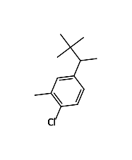 Cc1cc(C(C)C(C)(C)C)ccc1Cl